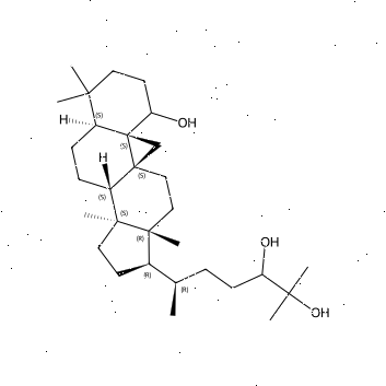 C[C@H](CCC(O)C(C)(C)O)[C@H]1CC[C@@]2(C)[C@@H]3CC[C@H]4C(C)(C)CCC(O)[C@@]45C[C@@]35CC[C@]12C